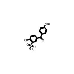 CCCCc1ccc(C(=O)c2ccc(Cl)c(S(N)(=O)=O)c2)cc1